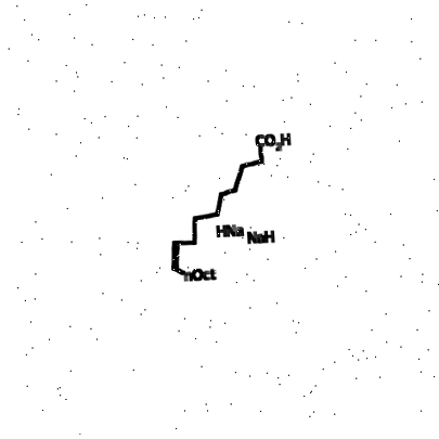 CCCCCCCC/C=C\CCCCCCCC(=O)O.[NaH].[NaH]